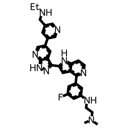 CCNCc1cncc(-c2cnc3[nH]nc(-c4cc5c(-c6cc(F)cc(NCCN(C)C)c6)nccc5[nH]4)c3c2)c1